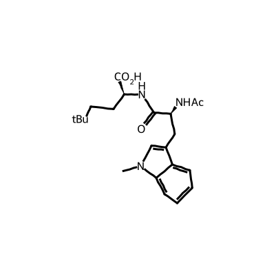 CC(=O)N[C@@H](Cc1cn(C)c2ccccc12)C(=O)N[C@@H](CCC(C)(C)C)C(=O)O